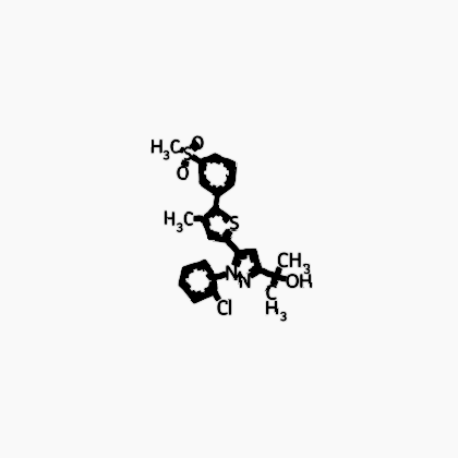 Cc1cc(-c2cc(C(C)(C)O)nn2-c2ccccc2Cl)sc1-c1cccc(S(C)(=O)=O)c1